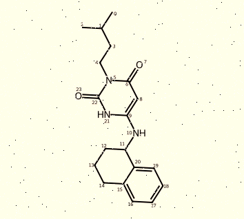 CC(C)CCn1c(=O)cc(NC2CCCc3ccccc32)[nH]c1=O